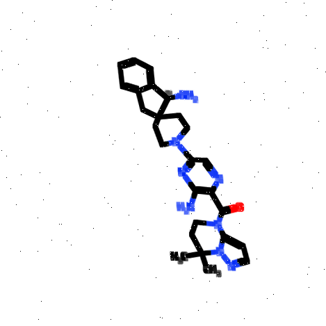 CC1(C)CCN(C(=O)c2ncc(N3CCC4(CC3)Cc3ccccc3[C@H]4N)nc2N)c2ccnn21